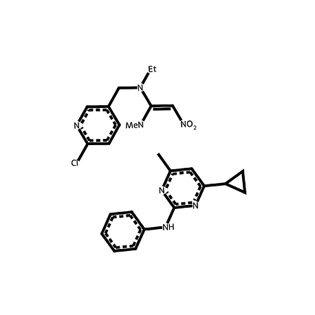 CCN(Cc1ccc(Cl)nc1)/C(=C/[N+](=O)[O-])NC.Cc1cc(C2CC2)nc(Nc2ccccc2)n1